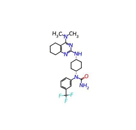 CN(C)c1nc(N[C@H]2CC[C@@H](N(C(N)=O)c3cccc(C(F)(F)F)c3)CC2)nc2c1CCCC2